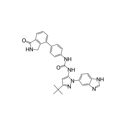 CC(C)(C)c1cc(NC(=O)Nc2ccc(-c3cccc4c3CNC4=O)cc2)n(-c2ccc3[nH]cnc3c2)n1